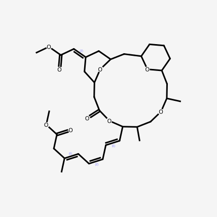 COC(=O)/C=C1\CC2CC(=O)OC(/C=C/C=C\C=C(/C)CC(=O)OC)C(C)COC(C)CC3CCCC(CC(C1)O2)O3